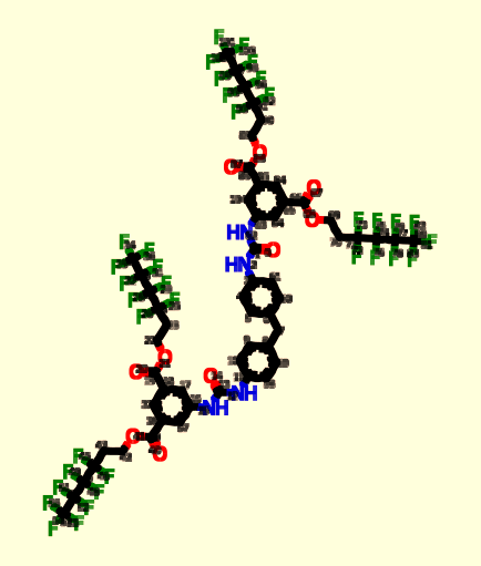 O=C(Nc1ccc(Cc2ccc(NC(=O)Nc3cc(C(=O)OCCC(F)(F)C(F)(F)C(F)(F)C(F)(F)F)cc(C(=O)OCCC(F)(F)C(F)(F)C(F)(F)C(F)(F)F)c3)cc2)cc1)Nc1cc(C(=O)OCCC(F)(F)C(F)(F)C(F)(F)C(F)(F)F)cc(C(=O)OCCC(F)(F)C(F)(F)C(F)(F)C(F)(F)F)c1